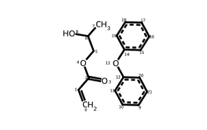 C=CC(=O)OCC(C)O.c1ccc(Oc2ccccc2)cc1